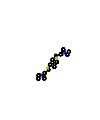 c1ccc2c(c1)-c1ccccc1C21c2cc(-c3ccc(-c4ccc5c(c4)c4ccccc4n5-c4cccc5ccccc45)s3)ccc2-c2ccc(-c3ccc(-c4ccc5c(c4)c4ccccc4n5-c4cccc5ccccc45)s3)cc21